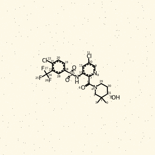 CC1(C)CN(C(=O)c2ncc(Cl)cc2NS(=O)(=O)c2ccc(Cl)c(C(F)(F)F)c2)CC[C@@H]1O